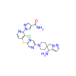 NC(=O)c1cnn(-c2nccc(Sc3cnc(N4CCC5(CC4)Cn4nccc4[C@H]5N)cn3)c2Cl)c1